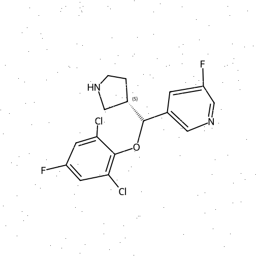 Fc1cncc(C(Oc2c(Cl)cc(F)cc2Cl)[C@H]2CCNC2)c1